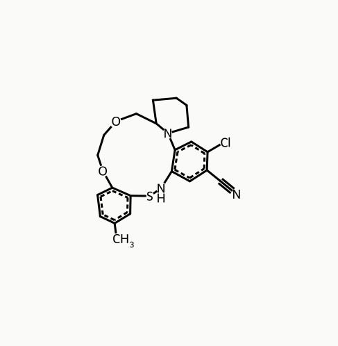 Cc1ccc2c(c1)SNc1cc(C#N)c(Cl)cc1N1CCCCC1COCCO2